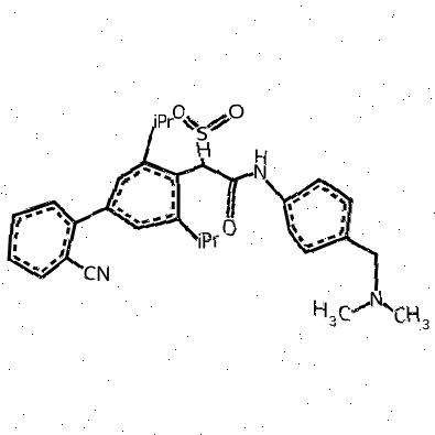 CC(C)c1cc(-c2ccccc2C#N)cc(C(C)C)c1C(C(=O)Nc1ccc(CN(C)C)cc1)[SH](=O)=O